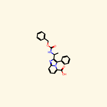 CC(NC(=O)OCc1ccccc1)c1nc2cccc(C(=O)O)n2c1-c1ccccc1